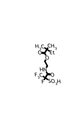 CCC(C)(C)C(=O)OCCNC(=O)C(F)(C(F)(F)F)S(=O)(=O)O